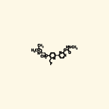 CNC(=O)Oc1nccc(-c2ccc(OC[C@@](C)(N)CC(C)C)c(CF)n2)n1